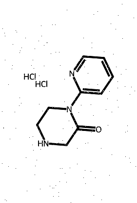 Cl.Cl.O=C1CNCCN1c1ccccn1